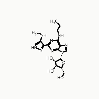 CCCNc1nc(-c2n[nH]cc2NC)nc2c1ncn2[C@@H]1O[C@H](CO)[C@@H](O)[C@H]1O